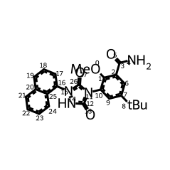 COc1c(C(N)=O)cc(C(C)(C)C)cc1-n1c(=O)[nH]n(-c2cccc3ccccc23)c1=O